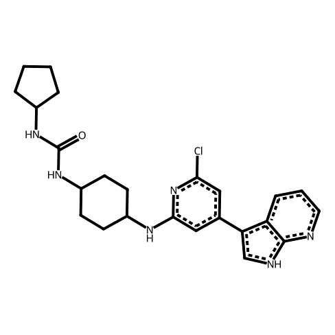 O=C(NC1CCCC1)NC1CCC(Nc2cc(-c3c[nH]c4ncccc34)cc(Cl)n2)CC1